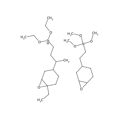 CCO[SiH](CCC(C)C1CCC2(CC)OC2C1)OCC.CO[Si](CCC1CCC2OC2C1)(OC)OC